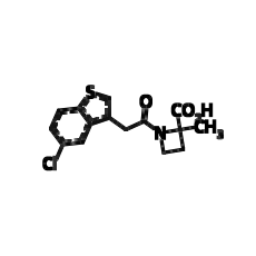 CC1(C(=O)O)CCN1C(=O)Cc1csc2ccc(Cl)cc12